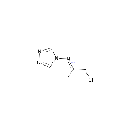 C/C(CCl)=N\n1cnnc1